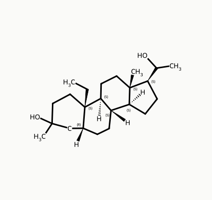 CC[C@]12CCC(C)(O)C[C@H]1CC[C@H]1[C@@H]3CC[C@H](C(C)O)[C@@]3(C)CC[C@@H]12